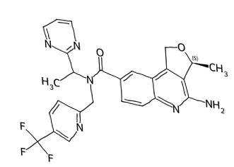 CC(c1ncccn1)N(Cc1ccc(C(F)(F)F)cn1)C(=O)c1ccc2nc(N)c3c(c2c1)CO[C@H]3C